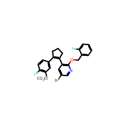 CCOC(=O)c1cc(C2=C(c3cc(Br)cnc3OCc3ccccc3F)CCC2)ccc1F